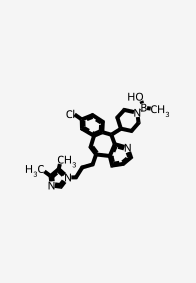 CB(O)N1CCC(C2c3ccc(Cl)cc3C=C(CCCn3cnc(C)c3C)c3cccnc32)CC1